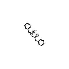 O=C(Cc1ccccc1)C[N+]([O-])=Cc1ccccc1